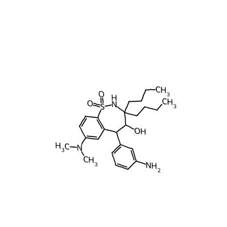 CCCCC1(CCCC)NS(=O)(=O)c2ccc(N(C)C)cc2C(c2cccc(N)c2)C1O